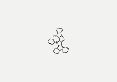 c1ccc(-n2c3c(ccc4c5ccccc5[nH]c43)c3c4ccccc4c4ccccc4c32)cc1